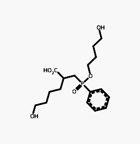 O=C(O)C(CCCCO)CP(=O)(OCCCCO)c1ccccc1